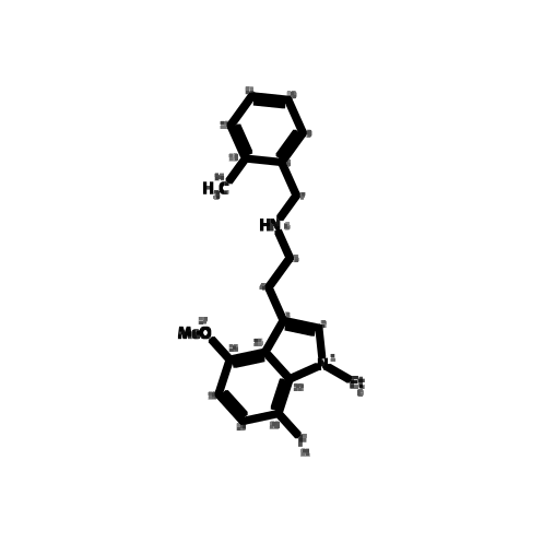 CCn1cc(CCNCc2ccccc2C)c2c(OC)ccc(F)c21